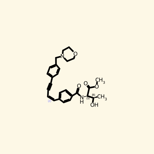 COC(=O)[C@@H](NC(=O)c1ccc(/C=C\C#Cc2ccc(CN3CCOCC3)cc2)cc1)[C@@H](C)O